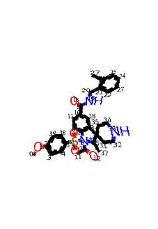 COc1ccc(S(=O)(=O)[N+]2(C(C)=O)c3ccc(C(=O)NCc4ccccc4C)cc3C3(CCNCC3)C2C)cc1